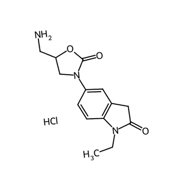 CCN1C(=O)Cc2cc(N3CC(CN)OC3=O)ccc21.Cl